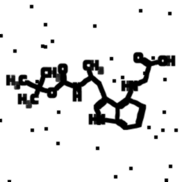 CC(Cc1c[nH]c2cccc(NCC(=O)O)c12)NC(=O)OC(C)(C)C